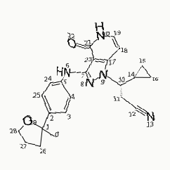 CC1(c2ccc(Nc3nn([C@@H](CC#N)C4CC4)c4cc[nH]c(=O)c34)cc2)CCCO1